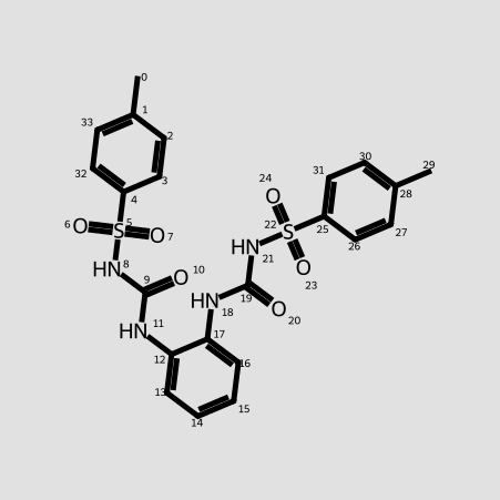 Cc1ccc(S(=O)(=O)NC(=O)Nc2ccccc2NC(=O)NS(=O)(=O)c2ccc(C)cc2)cc1